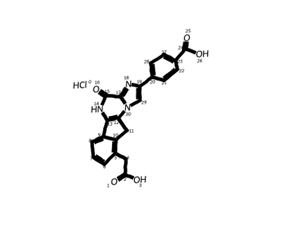 Cl.O=C(O)Cc1cccc2c1Cc1c-2[nH]c(=O)c2nc(-c3ccc(C(=O)O)cc3)cn12